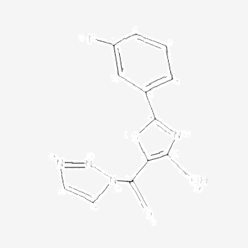 O=C(c1sc(-c2cccc(F)c2)nc1O)n1ccnn1